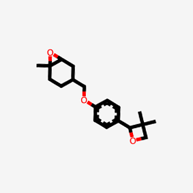 CC1(C)COC1c1ccc(OCC2CCC3(C)OC3C2)cc1